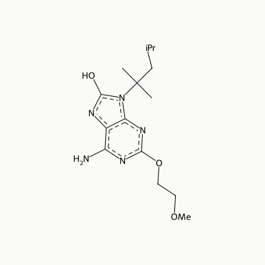 COCCOc1nc(N)c2nc(O)n(C(C)(C)CC(C)C)c2n1